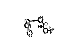 O=C(Nc1cccc(C(F)(F)F)c1)c1cncc(C#Cc2cnc3ccc(N4CCOCC4)nn23)c1